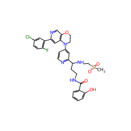 CS(=O)(=O)CCNC(CCNC(=O)c1ccccc1O)c1cc(N2CCOc3cnc(-c4cc(Cl)ccc4F)cc32)ccn1